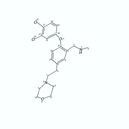 CNCc1cc(CCN2CCOCC2)ccc1Oc1ccc(Cl)c(Cl)c1